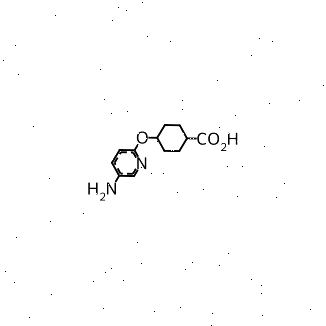 Nc1ccc(OC2CCC(C(=O)O)CC2)nc1